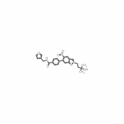 CC(C)(O)CCn1cc2cc([N+](=O)[O-])c(-c3ccc(C(=O)NCc4ccoc4)cc3)cc2n1